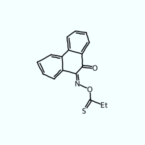 CCC(=S)ON=C1C(=O)c2ccccc2-c2ccccc21